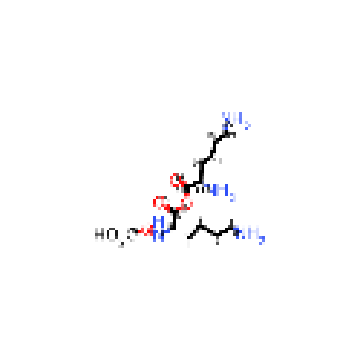 NCCCC[C@H](NOC(=O)O)C(=O)OC(=O)[C@@H](N)CCCCN